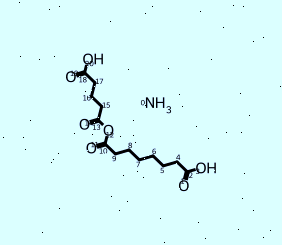 N.O=C(O)CCCCCCC(=O)OC(=O)CCCC(=O)O